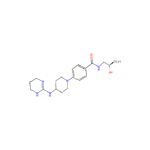 O=C(NC[C@H](O)C(=O)O)c1ccc(N2CCC(NC3=NCCCN3)CC2)cc1